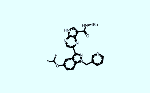 CC(C)(C)NC(=O)c1c[nH]c2ncc(-c3nn(Cc4cccnc4)c4ccc(OC(F)F)cc34)nc12